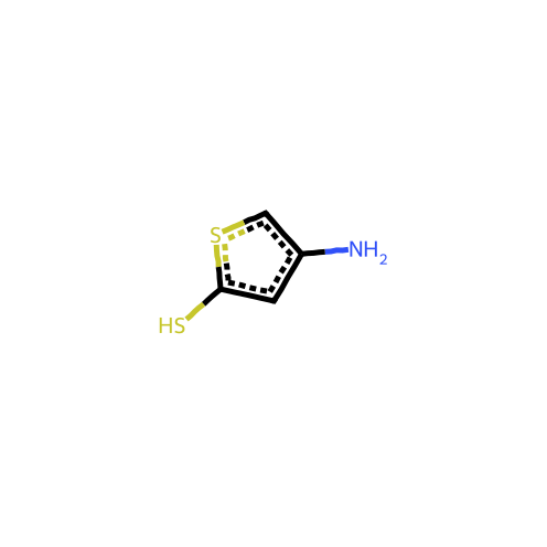 Nc1csc(S)c1